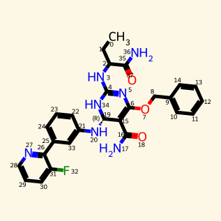 CCC(NC1=NC(OCc2ccccc2)=C(C(N)=O)[C@H](Nc2cccc(-c3ncccc3F)c2)N1)C(N)=O